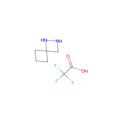 C1CC2(C1)CNN2.O=C(O)C(F)(F)F